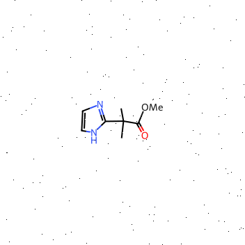 COC(=O)C(C)(C)c1ncc[nH]1